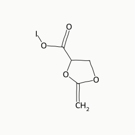 C=C1OCC(C(=O)OI)O1